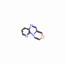 C1=CN2C(=CO1)C=Nc1cccnc12